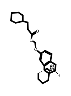 O=C(CCC1CCCCC1)OCOc1ccc2c(c1)[C@]13CCCC[C@@H]1[C@H](C2)NCC3